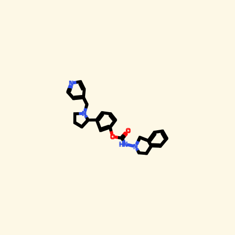 O=C(NN1CCc2ccccc2C1)Oc1cccc(C2CCCN2Cc2ccncc2)c1